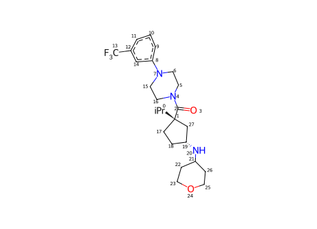 CC(C)[C@]1(C(=O)N2CCN(c3cccc(C(F)(F)F)c3)CC2)CC[C@@H](NC2CCOCC2)C1